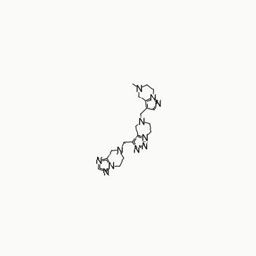 CN1CCn2ncc(CN3CCn4nnc(CN5CCn6ncnc6C5)c4C3)c2C1